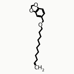 C=CCCCCCCCCCOCc1ccc2c(c1)OCO2